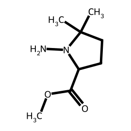 COC(=O)C1CCC(C)(C)N1N